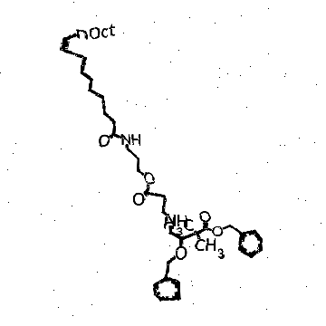 CCCCCCCC/C=C\CCCCCCCC(=O)NCCCOC(=O)CCNCC(OCc1ccccc1)C(C)(C)C(=O)OCc1ccccc1